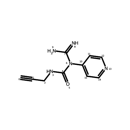 C#CCNC(=O)N(C(=N)N)c1ccncc1